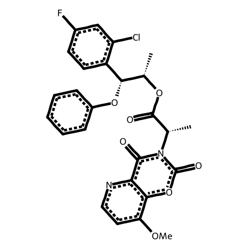 COc1ccnc2c(=O)n([C@@H](C)C(=O)O[C@@H](C)[C@H](Oc3ccccc3)c3ccc(F)cc3Cl)c(=O)oc12